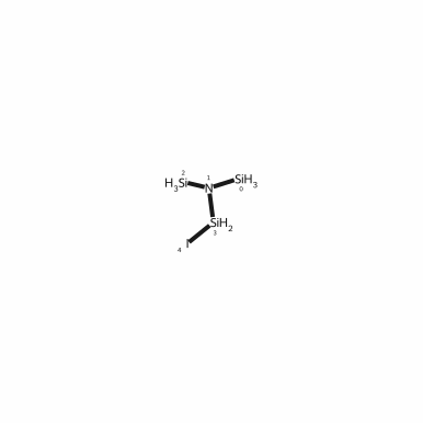 [SiH3]N([SiH3])[SiH2]I